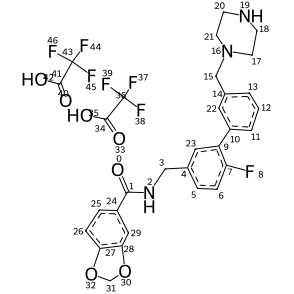 O=C(NCc1ccc(F)c(-c2cccc(CN3CCNCC3)c2)c1)c1ccc2c(c1)OCO2.O=C(O)C(F)(F)F.O=C(O)C(F)(F)F